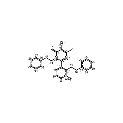 C=C1C(Br)=C(C)N=C(c2cccc(F)c2CCc2ccccc2)N1CCc1ccccc1